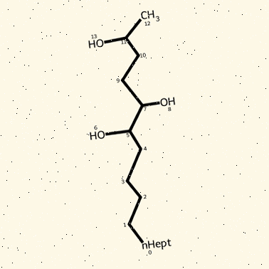 CCCCCCCCCCCC(O)C(O)CCC(C)O